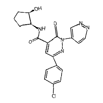 O=C(N[C@H]1CCC[C@H]1O)c1cc(-c2ccc(Cl)cc2)nn(-c2ccnnc2)c1=O